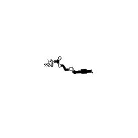 CCCCNC(=O)OCCOCC#CI